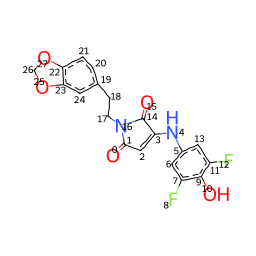 O=C1C=C(Nc2cc(F)c(O)c(F)c2)C(=O)N1CCc1ccc2c(c1)OCO2